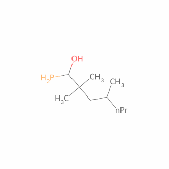 CCCC(C)CC(C)(C)C(O)P